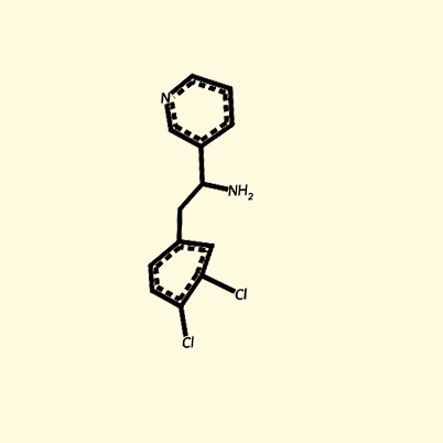 NC(Cc1ccc(Cl)c(Cl)c1)c1cccnc1